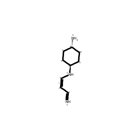 N=C/C=C\N[C@H]1CC[C@H](N)CC1